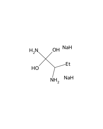 CCC(N)C(N)(O)O.[NaH].[NaH]